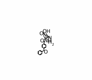 N[C@@H]1CN(C(=O)O)C[C@H]1NC(=O)c1ccc(C(=O)c2ccccc2)cc1